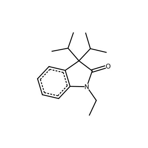 CCN1C(=O)C(C(C)C)(C(C)C)c2ccccc21